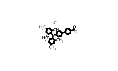 Cc1cc(C)c(B(c2ccc(-c3ccc(C(=O)[O-])cc3)cc2)c2c(C)cc(C)cc2C)c(C)c1.[K+]